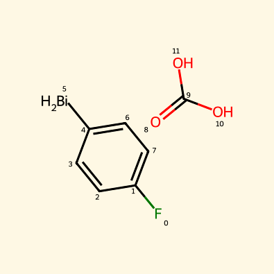 Fc1cc[c]([BiH2])cc1.O=C(O)O